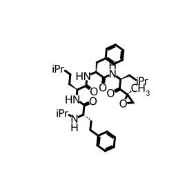 CC(C)CC[C@H](NC(=O)[C@H](CCc1ccccc1)NC(C)C)C(=O)N[C@@H](Cc1ccccc1)C(=O)N[C@@H](CC(C)C)C(=O)[C@@]1(C)CO1